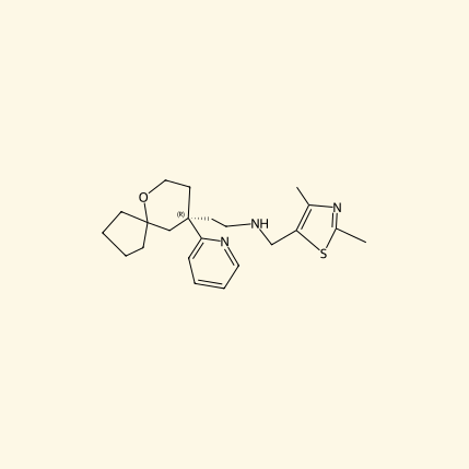 Cc1nc(C)c(CNCC[C@@]2(c3ccccn3)CCOC3(CCCC3)C2)s1